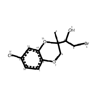 CC1(C(O)CBr)COc2ccc(Cl)cc2O1